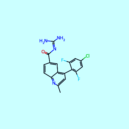 Cc1cc(-c2c(F)cc(Cl)cc2F)c2cc(C(=O)N=C(N)N)ccc2n1